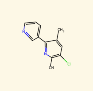 Cc1cc(Cl)c(C#N)nc1-c1cccnc1